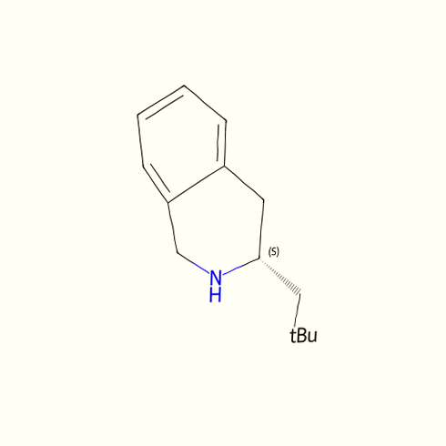 CC(C)(C)C[C@H]1Cc2ccccc2CN1